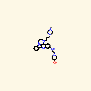 CN1CCN(CCCN2CCCn3c4ccccc4c4nc5cc(NCCN6CCC(O)CC6)ccc5c2c43)CC1